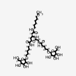 COCCCCCCNC(=O)C[C@H](CCC(=O)NCCCCCO[C@@H]1OC(CO)[C@@H](O)[C@H](O)C1O)NC(=O)CNC(=O)CCCCO[C@@H]1OC(CO)[C@@H](O)[C@H](O)C1O